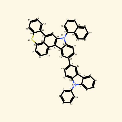 c1ccc(-n2c3ccccc3c3cc(-c4ccc5c(c4)c4c6cccc7c6c(cc4n5-c4cccc5ccccc45)-c4ccccc4S7)ccc32)cc1